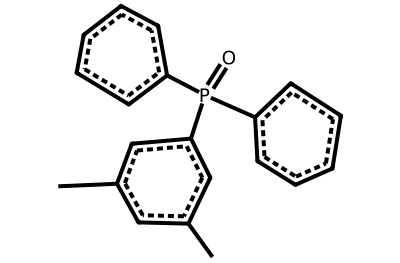 Cc1cc(C)cc(P(=O)(c2ccccc2)c2ccccc2)c1